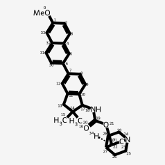 COc1ccc2cc(-c3ccc4c(c3)CC(C)(C)C4NC(=O)O[C@H]3CN4CCC3CC4)ccc2c1